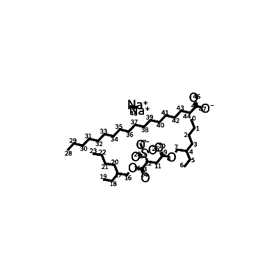 CCCCC(CC)COC(=O)CC(C(=O)OCC(CC)CCCC)S(=O)(=O)[O-].CCCCCCCCCCCCCCCCCC(=O)[O-].[Na+].[Na+]